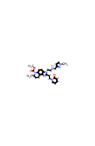 COC(=O)N1c2ccc3c(nc(CCn4ccccc4=O)n3CCNCc3ccn(C)n3)c2CC[C@@H]1C